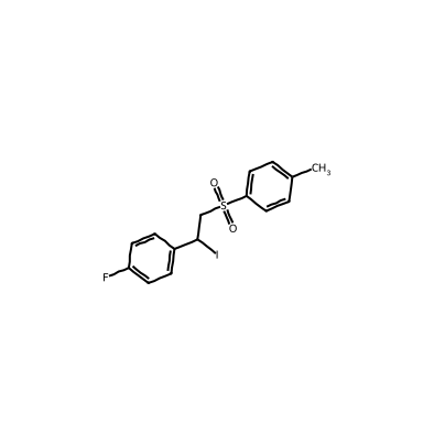 Cc1ccc(S(=O)(=O)CC(I)c2ccc(F)cc2)cc1